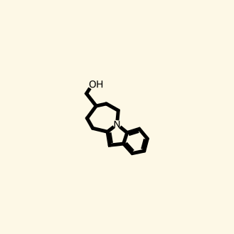 OCC1CCc2cc3ccccc3n2CC1